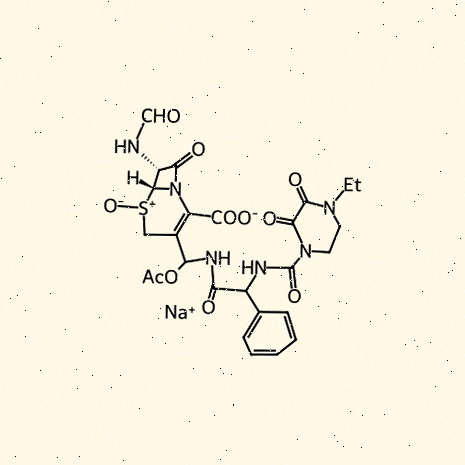 CCN1CCN(C(=O)NC(C(=O)NC(OC(C)=O)C2=C(C(=O)[O-])N3C(=O)[C@@H](NC=O)[C@H]3[S+]([O-])C2)c2ccccc2)C(=O)C1=O.[Na+]